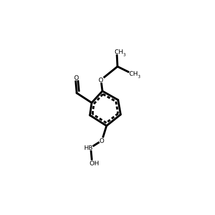 CC(C)Oc1ccc(OBO)cc1C=O